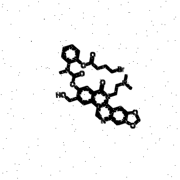 CN(C)CCn1c(=O)c2cc(OC(=O)N(C)c3ccccc3OC(=O)CCCBr)c(CO)cc2c2cnc3cc4c(cc3c21)OCO4